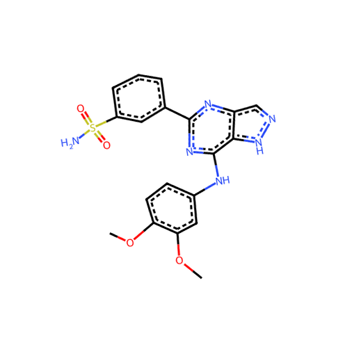 COc1ccc(Nc2nc(-c3cccc(S(N)(=O)=O)c3)nc3cn[nH]c23)cc1OC